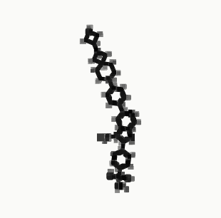 Cn1c(-c2ccc(S(C)(=O)=O)cc2)nc2cnc(-c3ccc(N4CCC5(CC4)CN(C4COC4)C5)cc3)cc21